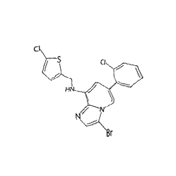 Clc1ccc(CNc2cc(-c3ccccc3Cl)cn3c(Br)cnc23)s1